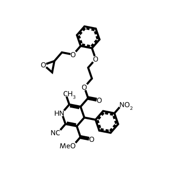 COC(=O)C1=C(C#N)NC(C)=C(C(=O)OCCOc2ccccc2OCC2CO2)C1c1cccc([N+](=O)[O-])c1